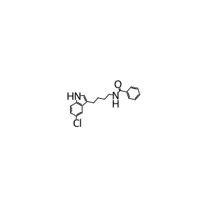 O=C(NCCCCc1c[nH]c2ccc(Cl)cc12)c1ccccc1